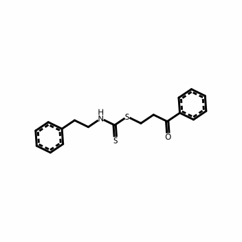 O=C(CCSC(=S)NCCc1ccccc1)c1ccccc1